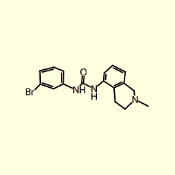 CN1CCc2c(cccc2NC(=O)Nc2cccc(Br)c2)C1